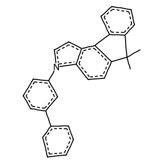 CC1(C)c2ccccc2-c2c1ccc1c2ccn1-c1cccc(-c2ccccc2)c1